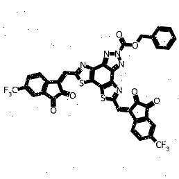 O=C1C(=O)c2cc(C(F)(F)F)ccc2/C1=C/c1nc2c3nn(C(=O)OCc4ccccc4)nc3c3nc(/C=C4\C(=O)C(=O)c5cc(C(F)(F)F)ccc54)sc3c2s1